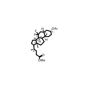 COC(=O)CC[C@@H](C)C1CC[C@H]2[C@H]3[C@H](CC[C@]12C)[C@@]1(C)CC[C@@H](OC(C)=O)C[C@H]1CC3(F)F